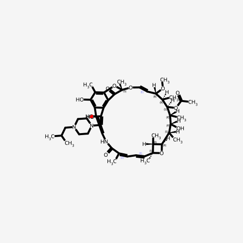 CO[C@H]1/C=C/O[C@@]2(C)Oc3c(C)c(O)c4c(O)c(c(N5CCN(CC(C)C)CC5)c(O)c4c3C2=O)NC(=O)/C(C)=C\C=C\[C@]2(C)O[C@H]([C@@H](C)[C@@H](O)[C@@H](C)[C@H](OC(C)=O)[C@@H]1C)[C@H]2C